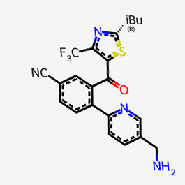 CC[C@@H](C)c1nc(C(F)(F)F)c(C(=O)c2cc(C#N)ccc2-c2ccc(CN)cn2)s1